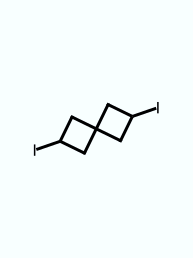 IC1CC2(C1)CC(I)C2